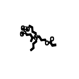 C=CC(=O)OCCC[N+](CCCC)(CCCC)C(C)CCS(=O)(=O)[O-]